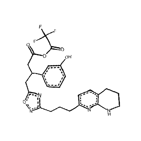 O=C(CC(Cc1nc(CCCc2ccc3c(n2)NCCC3)no1)c1cccc(O)c1)OC(=O)C(F)(F)F